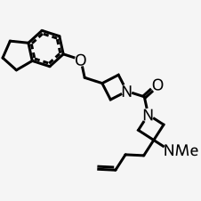 C=CCCC1(NC)CN(C(=O)N2CC(COc3ccc4c(c3)CCC4)C2)C1